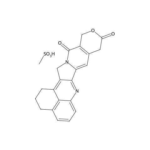 CS(=O)(=O)O.O=C1Cc2cc3n(c(=O)c2CO1)Cc1c-3nc2cccc3c2c1CCC3